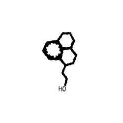 OCCC1CCC2CCCc3cccc1c32